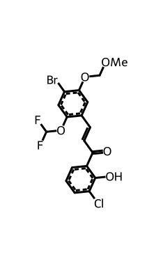 COCOc1cc(/C=C/C(=O)c2cccc(Cl)c2O)c(OC(F)F)cc1Br